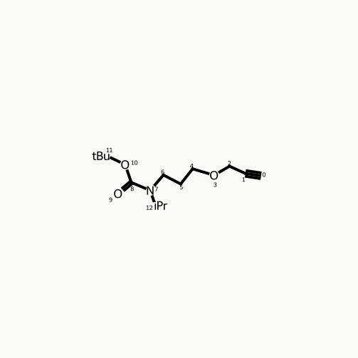 C#CCOCCCN(C(=O)OC(C)(C)C)C(C)C